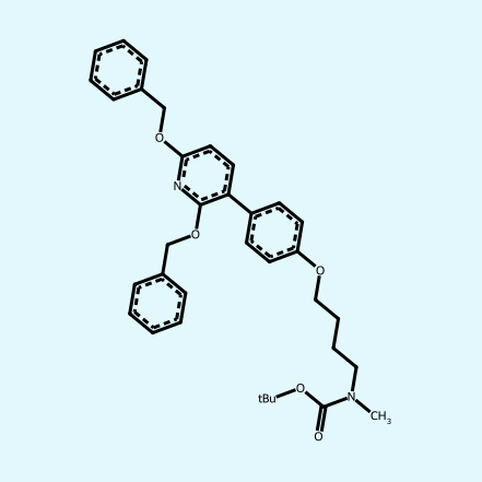 CN(CCCCOc1ccc(-c2ccc(OCc3ccccc3)nc2OCc2ccccc2)cc1)C(=O)OC(C)(C)C